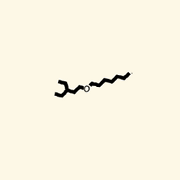 [CH2]CCCCCCOCCC(CC)CC